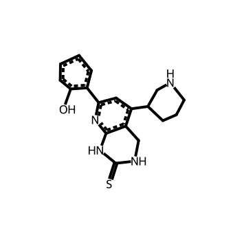 Oc1ccccc1-c1cc(C2CCCNC2)c2c(n1)NC(=S)NC2